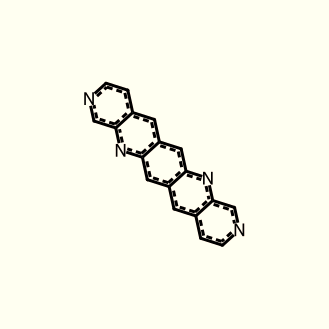 c1cc2cc3cc4nc5cnccc5cc4cc3nc2cn1